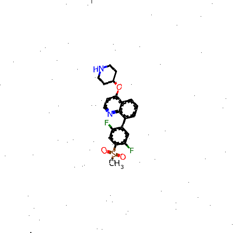 CS(=O)(=O)c1cc(F)c(-c2cccc3c(OC4CCNCC4)ccnc23)cc1F